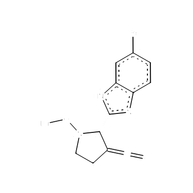 CC(C)(C)ON1CCC(=C=O)[C@H]1c1nc2ccc(Br)cc2[nH]1